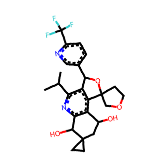 CC(C)c1nc2c(c3c1C(c1ccc(C(F)(F)F)nc1)OC31CCOC1)C(O)CC1(CC1)C2O